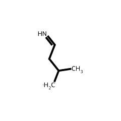 [CH2]C(C)CC=N